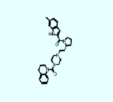 Cc1ccc2cc(C(=O)N3CCC[C@H]3CCN3CCN(C(=O)N4CCCc5ccccc54)CC3)[nH]c2c1